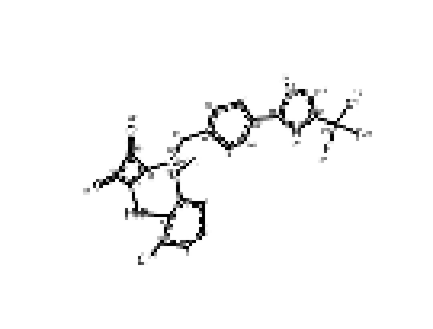 COc1cccc(Cl)c1Nc1c(NCc2ccc(-c3noc(C(F)(F)Cl)n3)cc2)c(=O)c1=O